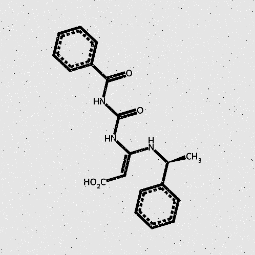 C[C@H](N/C(=C/C(=O)O)NC(=O)NC(=O)c1ccccc1)c1ccccc1